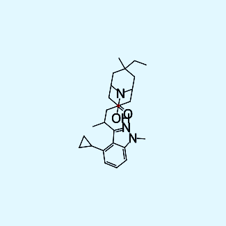 CCC1(C)CC2CC(O)CC(C1)N2C(=O)CC(C)c1nn(C)c2cccc(C3CC3)c12